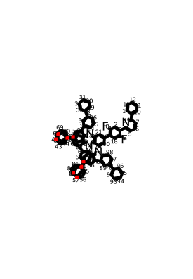 Fc1cc(-c2cccc(-c3ccccc3)n2)c(F)cc1-c1cc(-n2c3ccc(-c4ccccc4)cc3c3cc(-c4ccccc4)ccc32)c(-n2c3ccc(-c4ccccc4)cc3c3cc(-c4ccccc4)ccc32)c(-n2c3ccc(-c4ccccc4)cc3c3cc(-c4ccccc4)ccc32)c1